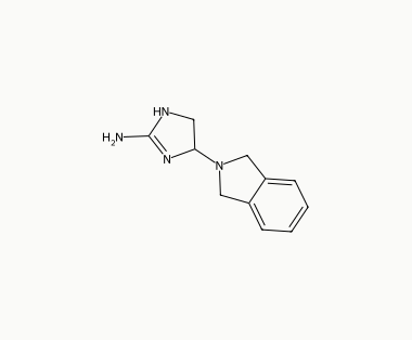 NC1=NC(N2Cc3ccccc3C2)CN1